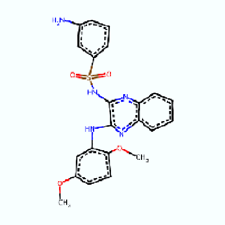 COc1ccc(OC)c(Nc2nc3ccccc3nc2NS(=O)(=O)c2cccc(N)c2)c1